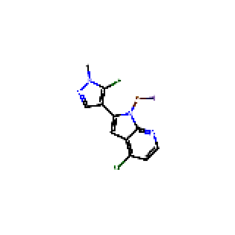 Cn1ncc(-c2cc3c(Cl)ccnc3n2SI)c1F